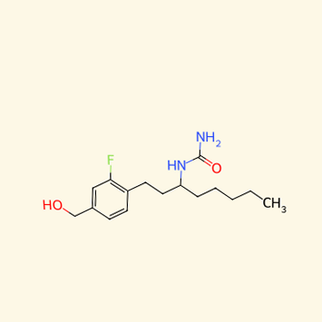 CCCCCC(CCc1ccc(CO)cc1F)NC(N)=O